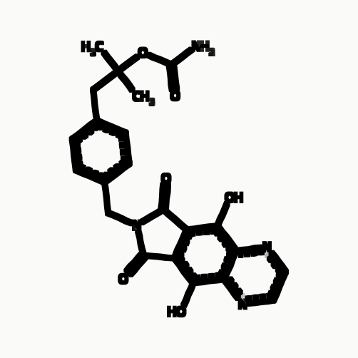 CC(C)(Cc1ccc(CN2C(=O)c3c(c(O)c4nccnc4c3O)C2=O)cc1)OC(N)=O